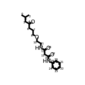 CC(C)CC(=O)CCCOCCNC(=O)CC(=O)Nc1ccccc1